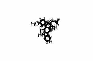 Oc1ccc2c3c1O[C@@H]1c4[nH]c5ccccc5c4C[C@]4(O)[C@H](C2)N(CC2CC2)CC[C@@]314